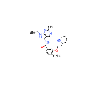 COc1ccc(C(=O)NCc2cnc(C#N)nc2NCC(C)(C)C)cc1OCCC1CCCCN1